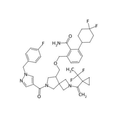 C=C(N1CC2(C1)CN(C(=O)c1cnn(Cc3ccc(F)cc3)c1)CC2COCc1cccc(C2CCC(F)(F)CC2)c1C(N)=O)C1(C(C)(F)F)CC1